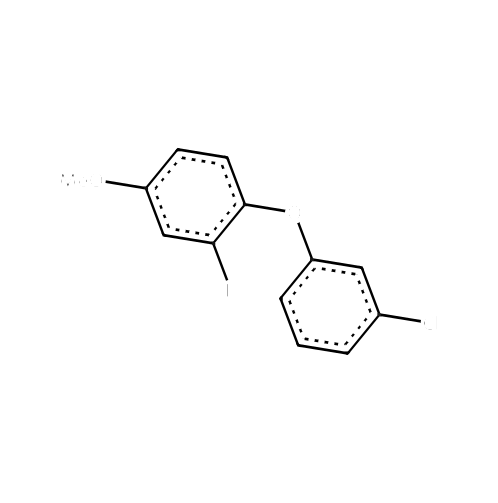 COc1ccc(Oc2cccc(Cl)c2)c(F)c1